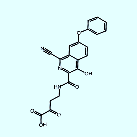 N#Cc1nc(C(=O)NCCC(=O)C(=O)O)c(O)c2ccc(Oc3ccccc3)cc12